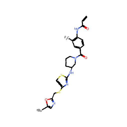 C=CC(=O)Nc1ccc(C(=O)N2CCCC(Nc3nc(SCc4ncc(C(C)(C)C)o4)cs3)C2)cc1C(F)(F)F